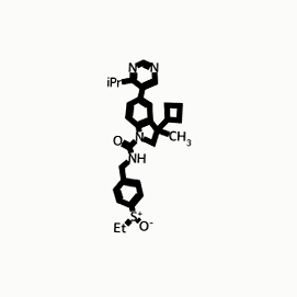 CC[S+]([O-])c1ccc(CNC(=O)N2CC(C)(C3CCC3)c3cc(-c4cncnc4C(C)C)ccc32)cc1